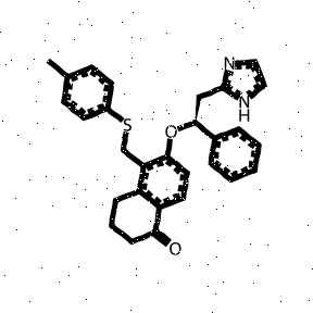 Cc1ccc(SCc2c(O[C@@H](Cc3ncc[nH]3)c3ccccc3)ccc3c2CCCC3=O)cc1